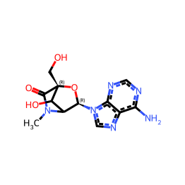 CN1C(=O)[C@]2(CO)O[C@@H](n3cnc4c(N)ncnc43)C1C2O